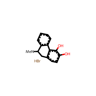 Br.CNC1Cc2ccc(O)c(O)c2-c2ccccc21